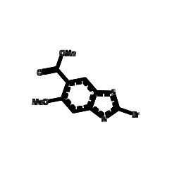 COC(=O)c1cc2sc(Br)nc2cc1OC